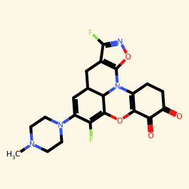 CN1CCN(C2=CC3Cc4c(F)noc4N4C5=C(OC(=C2F)C34)C(=O)C(=O)CC5)CC1